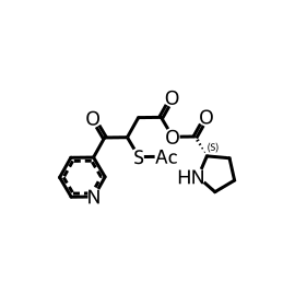 CC(=O)SC(CC(=O)OC(=O)[C@@H]1CCCN1)C(=O)c1cccnc1